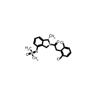 C[C@H]1c2cccc(N=S(C)(C)=O)c2CN1C(=O)Cc1c(Cl)cccc1Cl